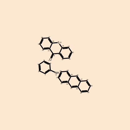 Nc1ccccc1.O=c1c2ccccc2sc2ccccc12.c1ccc2cc3ccccc3cc2c1